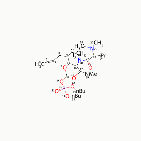 C/C=C/CC(C)C(OCOP(=O)(OCCCC)OCCCC)C(C(=O)NC)N(C)C(=O)C(C(C)C)N(C)C